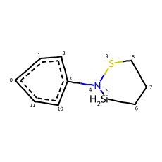 c1ccc(N2[SiH2]CCCS2)cc1